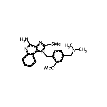 COc1cc(CN(C)C)ccc1Cn1c(SC)nc2c(N)nc3ccccc3c21